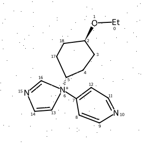 CCO[C@H]1CC[C@H]([N+]2(c3ccncc3)C=CN=C2)CC1